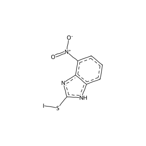 O=[N+]([O-])c1cccc2[nH]c(SI)nc12